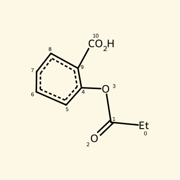 CCC(=O)Oc1ccccc1C(=O)O